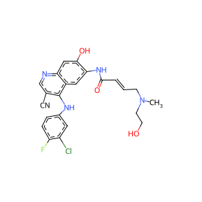 CN(C/C=C/C(=O)Nc1cc2c(Nc3ccc(F)c(Cl)c3)c(C#N)cnc2cc1O)CCO